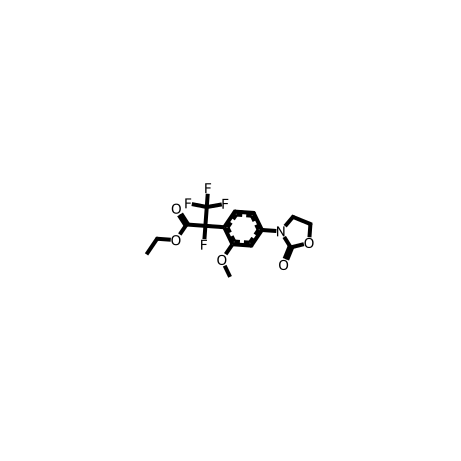 CCOC(=O)C(F)(c1ccc(N2CCOC2=O)cc1OC)C(F)(F)F